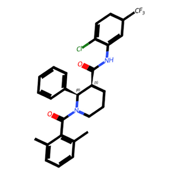 Cc1cccc(C)c1C(=O)N1CCC[C@H](C(=O)NC2=CC(C(F)(F)F)CC=C2Cl)[C@@H]1c1ccccc1